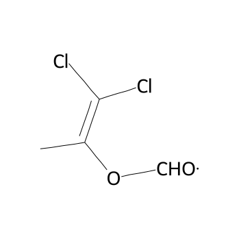 CC(O[C]=O)=C(Cl)Cl